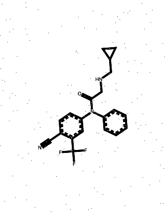 N#Cc1ccc(N(C(=O)CNCC2CC2)c2ccccc2)cc1C(F)(F)F